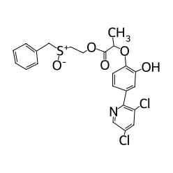 CC(Oc1ccc(-c2ncc(Cl)cc2Cl)cc1O)C(=O)OCC[S+]([O-])Cc1ccccc1